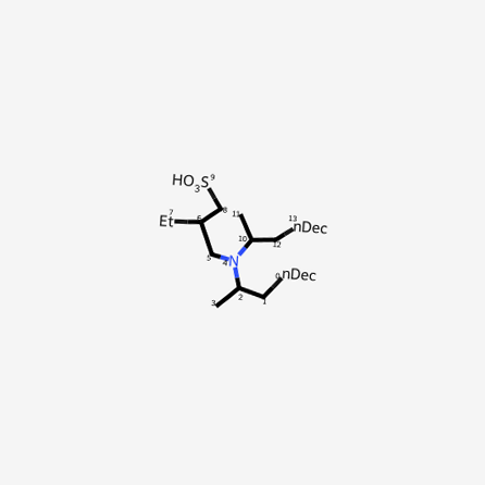 CCCCCCCCCCCC(C)N(CC(CC)CS(=O)(=O)O)C(C)CCCCCCCCCCC